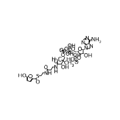 CC(C)(COP(=O)(O)OP(=O)(O)OC[C@H]1O[C@@H](n2cnc3c(N)ncnc32)[C@H](O)[C@@H]1OP(=O)(O)O)[C@@H](O)C(=O)NCCC(=O)NCCSC(=O)c1ccc(O)o1